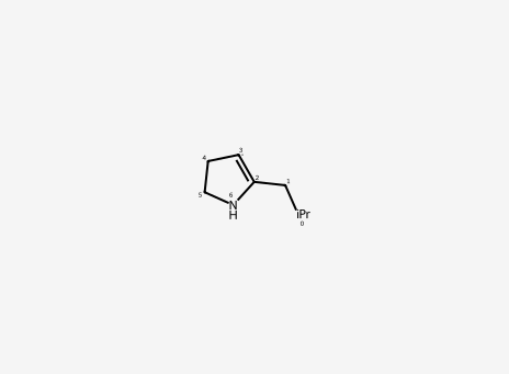 CC(C)CC1=[C]CCN1